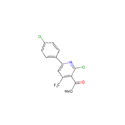 COC(=O)c1c(C(F)(F)F)cc(-c2ccc(Cl)cc2)nc1Cl